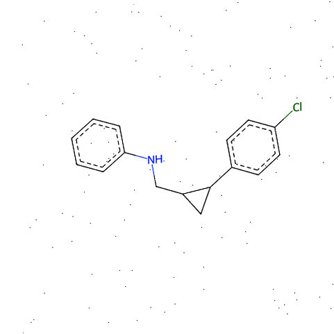 Clc1ccc(C2CC2CNc2ccccc2)cc1